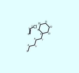 C=CCl.CCCCCC1CCCCC1